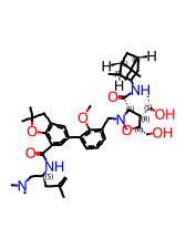 C=C(C)C[C@@H](CN(C)C)NC(=O)c1cc(-c2cccc(CN3O[C@@H](CO)[C@@H]([C@H](C)O)[C@H]3C(=O)NC3C[C@H]4C[C@@H]([C@@H]3C)C4(C)C)c2OC)cc2c1OC(C)(C)C2